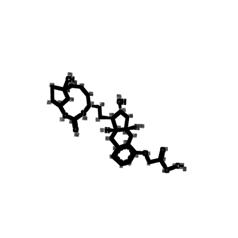 COC(=O)COc1cccc2c1C[C@H]1C[C@@H](O)[C@H](CC[C@H]3CCCC4(C)CCC(C4)OC(=O)O3)[C@H]1C2